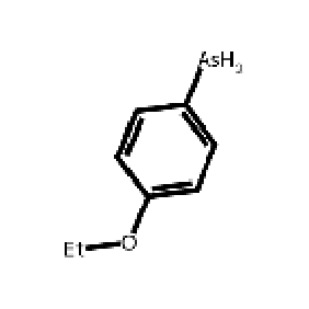 CCOc1ccc([AsH2])cc1